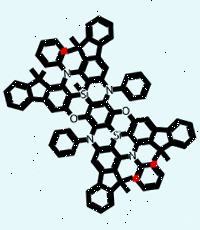 CC1(C)c2ccccc2-c2cc3c4c(c21)N(c1ccccc1)c1c2c(cc5c1[Si]4(C)c1c(c4c6c(c1N5c1ccccc1)Oc1cc5c(c7c1[Si]6(C)c1c(cc6c(c1N7c1ccccc1)C(C)(C)c1ccccc1-6)N4c1ccccc1)C(C)(C)c1ccccc1-5)O3)-c1ccccc1C2(C)C